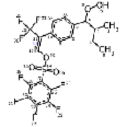 CCC(C)C(OO)c1ccc(/C(=N\OS(=O)(=O)c2c(F)c(F)c(F)c(F)c2F)C(F)(F)F)cc1